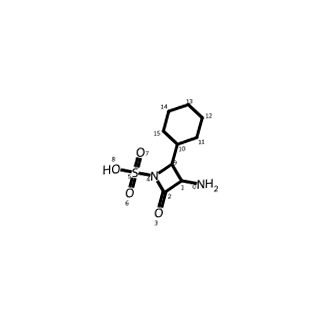 NC1C(=O)N(S(=O)(=O)O)C1C1CCCCC1